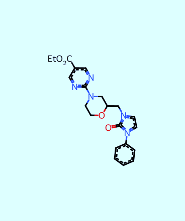 CCOC(=O)c1cnc(N2CCOC(Cn3ccn(-c4ccccc4)c3=O)C2)nc1